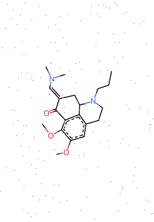 CCCN1CCc2cc(OC)c(OC)c3c2C1C/C(=C\N(C)C)C3=O